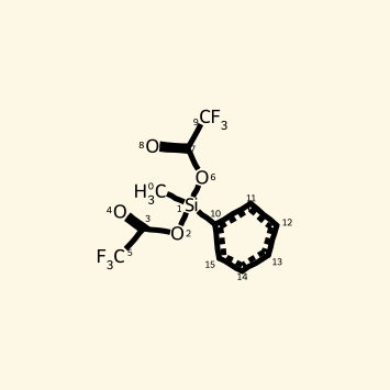 C[Si](OC(=O)C(F)(F)F)(OC(=O)C(F)(F)F)c1ccccc1